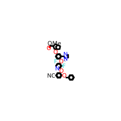 COC(=O)C1CC2CCC(Oc3ccc(Oc4c(F)cnc(Oc5cc(C#N)ccc5OCc5ccccc5)c4F)c(C4N=CCN4C)c3)(C2)C1